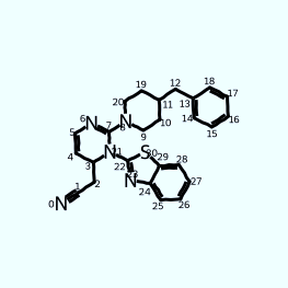 N#CCC1C=CN=C(N2CCC(Cc3ccccc3)CC2)N1c1nc2ccccc2s1